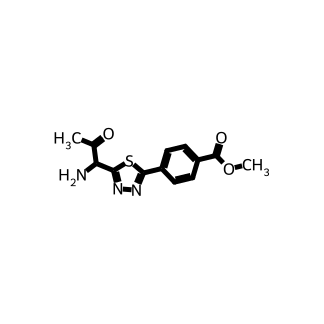 COC(=O)c1ccc(-c2nnc(C(N)C(C)=O)s2)cc1